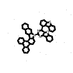 c1ccc2cc3c(cc2c1)c1c2c4ccccc4c4ccccc4c2ccc1n3-c1nc(-c2cccc3sc4ccccc4c23)c2oc3ccccc3c2n1